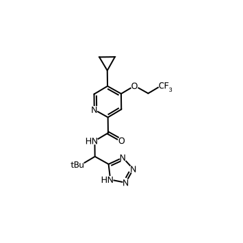 CC(C)(C)C(NC(=O)c1cc(OCC(F)(F)F)c(C2CC2)cn1)c1nnn[nH]1